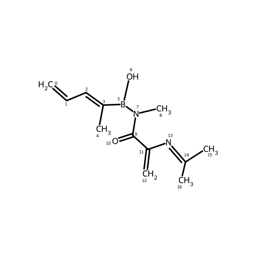 C=C/C=C(\C)B(O)N(C)C(=O)C(=C)N=C(C)C